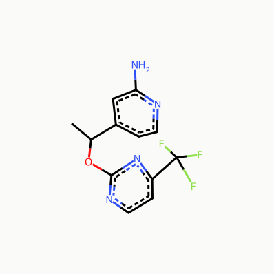 CC(Oc1nccc(C(F)(F)F)n1)c1ccnc(N)c1